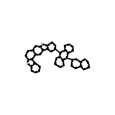 c1ccc2cc(-c3c4ccccc4c(-c4ccc5sc6cc7ccc8sc9ccccc9c8c7cc6c5c4)c4ccccc34)ccc2c1